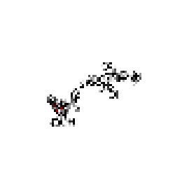 CC[C@@H](C(=O)N1C[C@H](O)C[C@H]1C(=O)NC1(c2ccc(-c3scnc3C)cc2)CN(C(C)=O)C1)c1cc(OCCN2CCN(CCOc3cc(N4C5CCC4CN(c4cc(-c6ccccc6O)nnc4N)C5)ccn3)CC2)no1